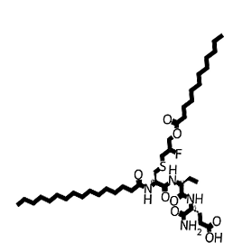 CCCCCCCCCCCCCCCC(=O)N[C@@H](CSCC(F)COC(=O)CCCCCCCCCCC)C(=O)N[C@@H](CC)C(=O)N[C@H](CCC(=O)O)C(N)=O